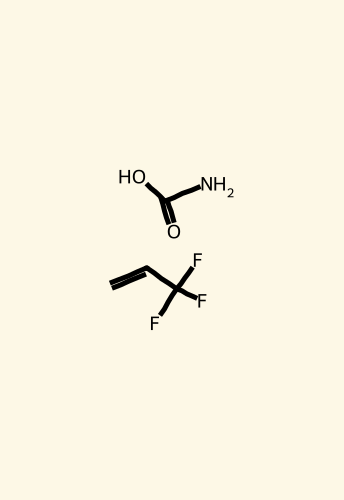 C=CC(F)(F)F.NC(=O)O